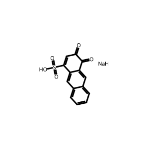 O=C1C=C(S(=O)(=O)O)c2cc3ccccc3cc2C1=O.[NaH]